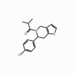 CC(C)C(=O)N1Cc2ccsc2CC1c1ccc(Cl)cc1